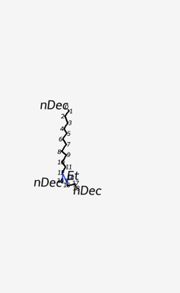 CCCCCCCCCCCCCCCCCCCCCC[N+](CC)(CCCCCCCCCC)CCCCCCCCCCCC